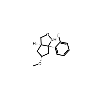 CO[C@@H]1C[C@H]2CON[C@@]2(c2ccccc2F)C1